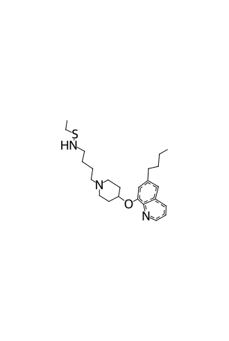 CCCCc1cc(OC2CCN(CCCCNSCC)CC2)c2ncccc2c1